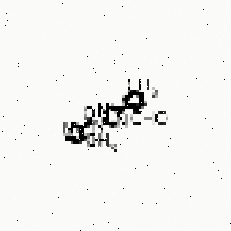 Cc1ccc(C=O)c(-c2cnc(NC(=O)c3cnccc3C)cn2)c1